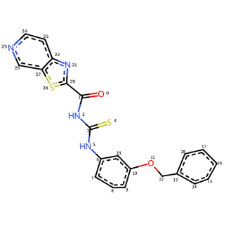 O=C(NC(=S)Nc1cccc(OCc2ccccc2)c1)c1nc2ccncc2s1